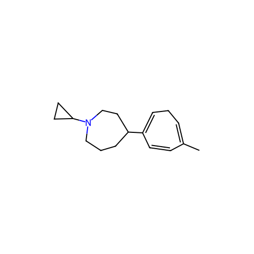 CC1=CCC=C(C2CCCN(C3CC3)CC2)C=C1